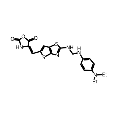 CCN(CC)c1ccc(NCNc2nc3sc(/C=C4/NC(=O)OC4=O)cc3s2)cc1